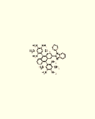 Bc1c(B)c(B)c(-c2c3ccccc3c(-c3c(B)c(B)c(B)c(B)c3B)c3cc(-c4nc5ccccc5n4-c4ccccc4)ccc23)c(B)c1B